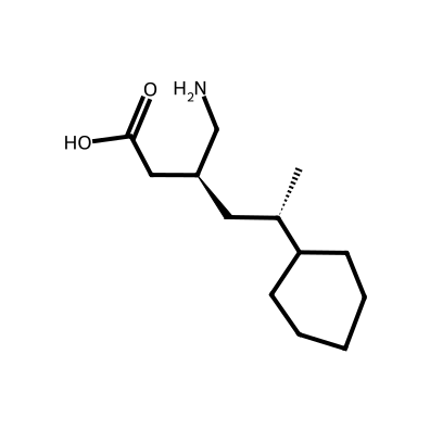 C[C@@H](C[C@H](CN)CC(=O)O)C1CCCCC1